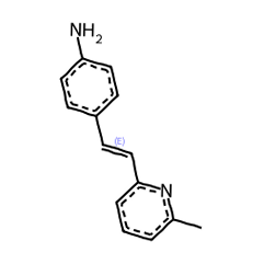 Cc1cccc(/C=C/c2ccc(N)cc2)n1